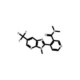 CN(C)C(=O)c1cnccc1-c1nc2cc(C(F)(F)F)cnc2n1C